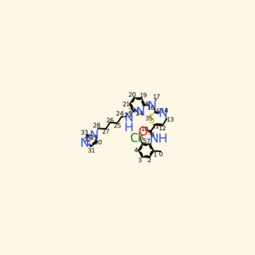 Cc1cccc(Cl)c1NC(=O)C1=CCN=C(N(C)c2cccc(NCCCCCn3ccnc3)n2)S1